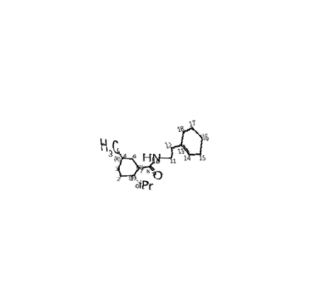 CC(C)[C@@H]1CC[C@@H](C)C[C@H]1C(=O)NCCC1=CCCCC1